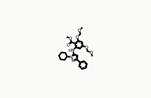 COCOc1cc(Nc2cc(-c3ccccc3)nn2C2CCCCC2)c(C(=O)OC)c(OCOC)c1